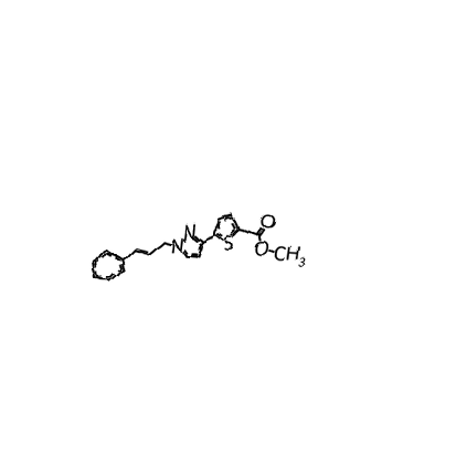 COC(=O)c1ccc(-c2ccn(C/C=C/c3ccccc3)n2)s1